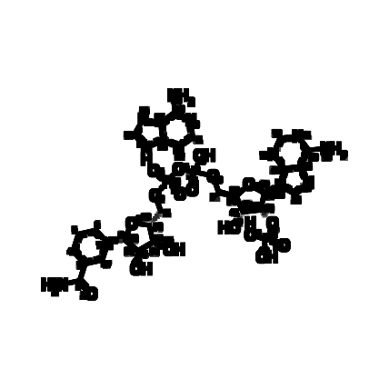 NC(=O)c1ccc[n+]([C@@H]2O[C@H](COP(=O)([O-])OP(=O)(O)OC[C@H]3O[C@@H](n4cnc5c(N)ncnc54)[C@H](OP(=O)(O)O)[C@@H]3O)[C@@H](O)[C@H]2O)c1.Nc1ncnc2[nH]cnc12